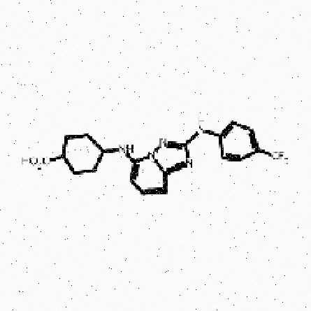 O=C(O)C1CCC(Nc2cccc3nc(Nc4ccc(C(F)(F)F)cc4)nn23)CC1